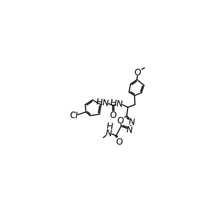 CNC(=O)c1nnc(C(Cc2ccc(OC)cc2)NC(=O)Nc2ccc(Cl)cc2)o1